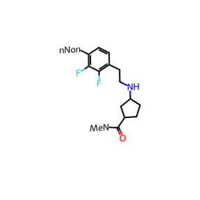 CCCCCCCCCc1ccc(CCNC2CCC(C(=O)NC)C2)c(F)c1F